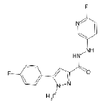 Cn1nc(C(=O)NNc2ccc(F)nc2)cc1-c1ccc(F)cc1